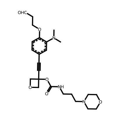 CN(C)c1cc(C#CC2(OC(=O)NCCCN3CCOCC3)COC2)ccc1OCCC=O